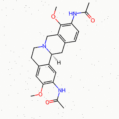 COc1cc2c(cc1NC(C)=O)[C@@H]1Cc3ccc(NC(C)=O)c(OC)c3CN1CC2